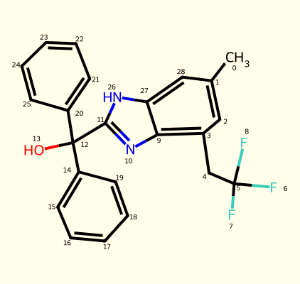 Cc1cc(CC(F)(F)F)c2nc(C(O)(c3ccccc3)c3ccccc3)[nH]c2c1